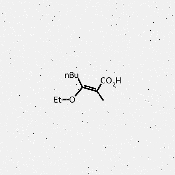 CCCC/C(OCC)=C(/C)C(=O)O